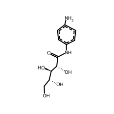 Nc1ccc(NC(=O)[C@H](O)[C@H](O)[C@H](O)CO)cc1